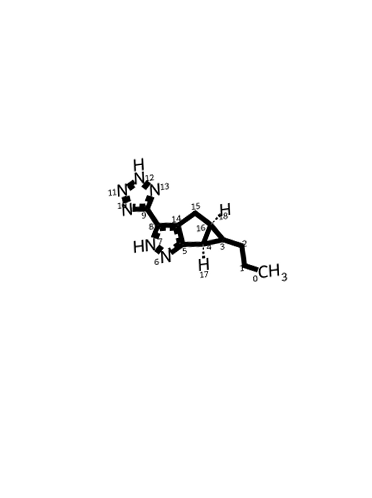 CCCC1[C@H]2c3n[nH]c(-c4nn[nH]n4)c3C[C@@H]12